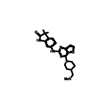 CNCC1CCN(c2nc(Nc3ccc4c(c3)NC(=O)C4(C)C)nc3ccoc23)CC1